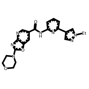 CCn1cc(-c2cccc(NC(=O)c3cnc4nc(N5CCOCC5)oc4c3)n2)cn1